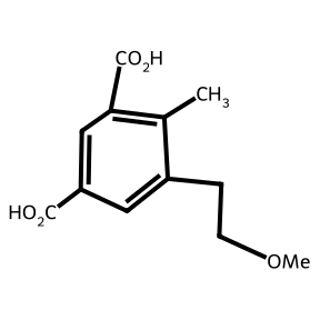 COCCc1cc(C(=O)O)cc(C(=O)O)c1C